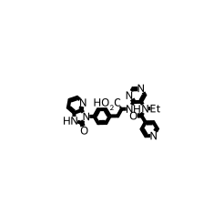 CCN(C(=O)c1ccncc1)c1cncnc1N[C@@H](Cc1ccc(-n2c(=O)[nH]c3cccnc32)cc1)C(=O)O